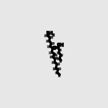 CCCCCC(=O)O.CCCCCCCCCCCCCCCCN